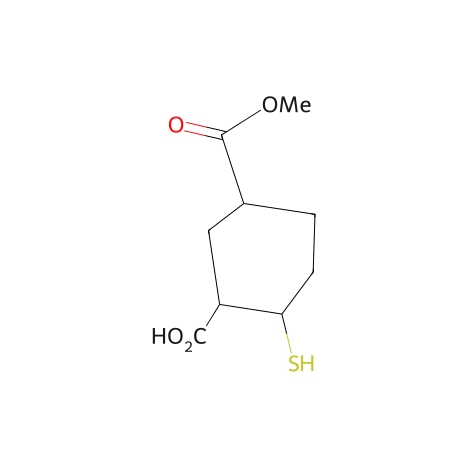 COC(=O)C1CCC(S)C(C(=O)O)C1